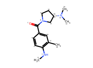 CNc1ccc(C(=O)N2CC[C@H](N(C)C)C2)cc1C